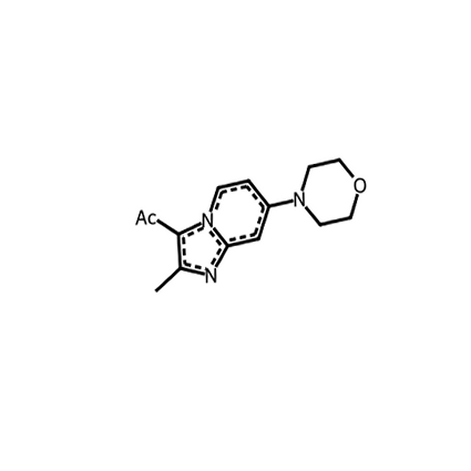 CC(=O)c1c(C)nc2cc(N3CCOCC3)ccn12